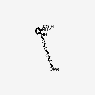 COCCOCCOCCOCCOCCNc1ccccc1NC(=O)O